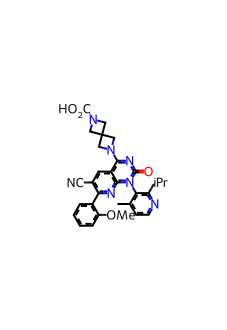 COc1ccccc1-c1nc2c(cc1C#N)c(N1CC3(CN(C(=O)O)C3)C1)nc(=O)n2-c1c(C)ccnc1C(C)C